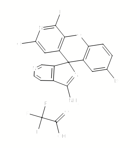 NC1=NC2(c3cc(Br)ccc3Oc3c2cc(Cl)nc3F)c2cnccc21.O=C(O)C(F)(F)F